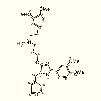 COc1ccc(CCN(C)CCCOc2cc(-c3ccc(OC)c(OC)c3)nn2Cc2ccccc2)cc1OC